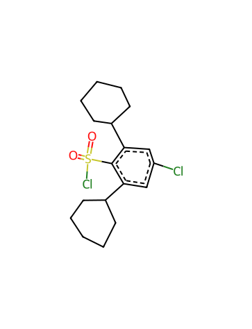 O=S(=O)(Cl)c1c(C2CCCCC2)cc(Cl)cc1C1CCCCC1